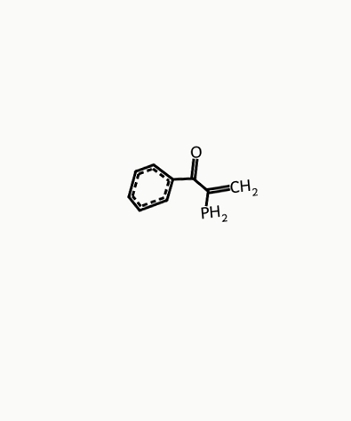 C=C(P)C(=O)c1ccccc1